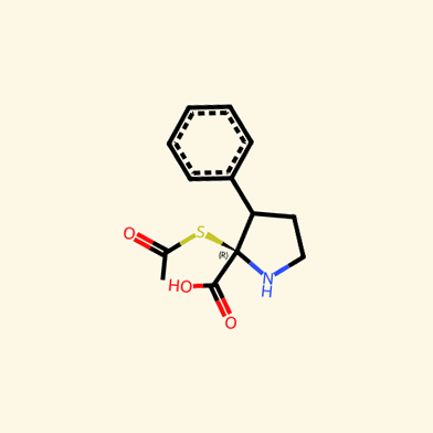 CC(=O)S[C@]1(C(=O)O)NCCC1c1ccccc1